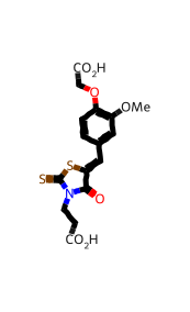 COc1cc(/C=C2\SC(=S)N(CCC(=O)O)C2=O)ccc1OCC(=O)O